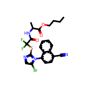 CCCCOC(=O)C(C)NC(=O)C(F)(F)Sc1ncc(Br)n1-c1ccc(C#N)c2ccccc12